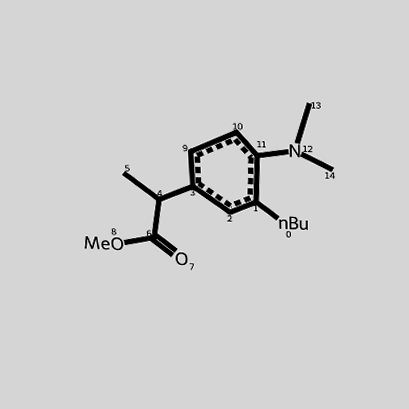 CCCCc1cc(C(C)C(=O)OC)ccc1N(C)C